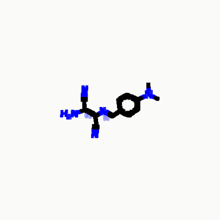 CN(C)c1ccc(/C=N/C(C#N)=C(/N)C#N)cc1